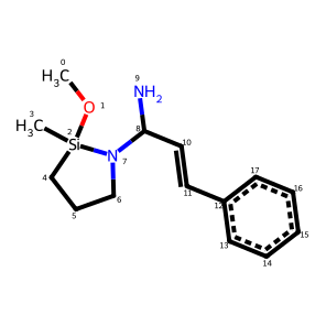 CO[Si]1(C)CCCN1C(N)C=Cc1ccccc1